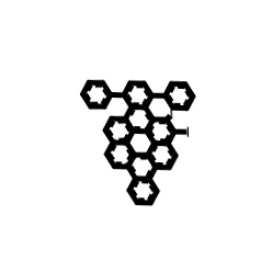 Ic1c(I)c2c3c(-c4ccccc4)ccc(-c4ccccc4)c3c3ccc4ccc5c6ccccc6c6ccc1c1c6c5c4c3c21